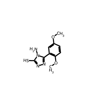 COc1ccc(OC)c(-c2nnc(S)n2N)c1